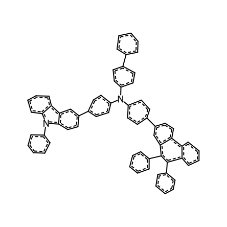 c1ccc(-c2ccc(N(c3ccc(-c4ccc5c(c4)c(-c4ccccc4)c(-c4ccccc4)c4ccccc45)cc3)c3ccc(-c4ccc5c(c4)c4ccccc4n5-c4ccccc4)cc3)cc2)cc1